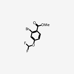 COC(=O)c1ccc(OC(F)F)cc1Br